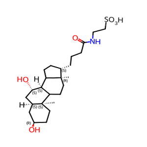 C[C@]12CCC3[C@H](C1CC[C@@H]2CCCC(=O)NCCS(=O)(=O)O)[C@@H](O)C[C@@H]1C[C@H](O)CC[C@]31C